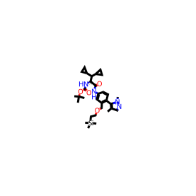 Cc1cnn(C)c1-c1ccc(NC(=O)[C@@H](NC(=O)OC(C)(C)C)C(C2CC2)C2CC2)cc1COCC[Si](C)(C)C